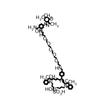 Cc1nn(-c2ccc(C(N)O)c(NCCCOCCOCCOCCOCCOCCCNCc3ccc(C(/C=C/C4=[N+](CCCCS(=O)(=O)O)c5ccccc5C4(C)C)C/C=C/C=C4\N(CCCCS(=O)(=O)O)c5ccccc5C4(C)C)cc3)c2)c2c1C(=O)CC(C)(C)C2